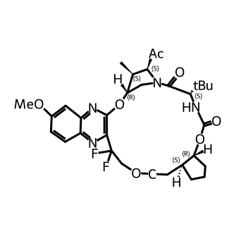 COc1ccc2nc3c(nc2c1)O[C@H]1CN(C(=O)[C@H](C(C)(C)C)NC(=O)O[C@@H]2CCC[C@H]2CCOCC3(F)F)[C@H](C(C)=O)[C@@H]1C